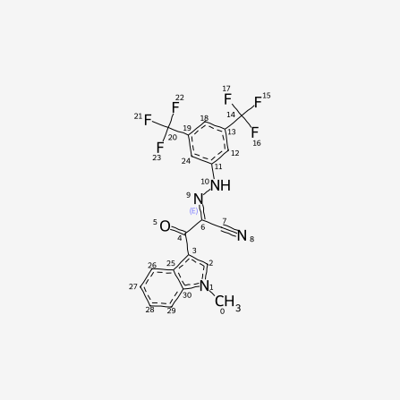 Cn1cc(C(=O)/C(C#N)=N/Nc2cc(C(F)(F)F)cc(C(F)(F)F)c2)c2ccccc21